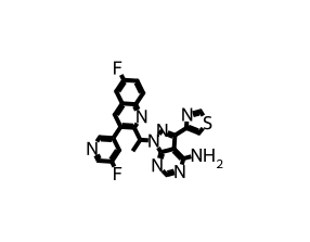 CC(c1nc2ccc(F)cc2cc1-c1cncc(F)c1)n1nc(-c2cscn2)c2c(N)ncnc21